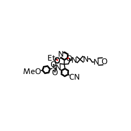 CCOc1ncccc1C1(CC(=O)N2CC3(CN(CCN4CCOCC4)C3)C2)C(=O)N(S(=O)(=O)c2ccc(OC)cc2)c2ccc(C#N)cc21